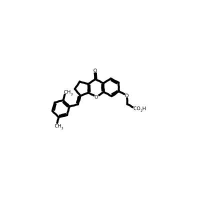 Cc1ccc(C)c(C=C2CCc3c2oc2cc(OCC(=O)O)ccc2c3=O)c1